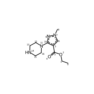 CCOC(=O)c1cn(C)nc1N1CCNCC1